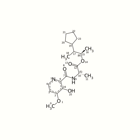 COc1ccnc(C(=O)N[C@@H](C)C(=O)O[C@H](C)C(C)C2CCCC2)c1O